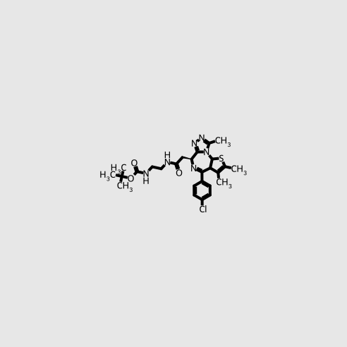 CC1=C(C)C2C(c3ccc(Cl)cc3)=N[C@@H](CC(=O)NCCNC(=O)OC(C)(C)C)c3nnc(C)n3C2S1